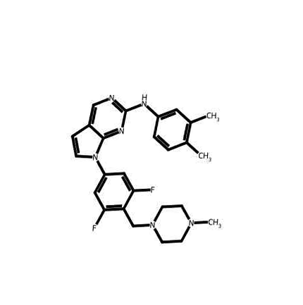 Cc1ccc(Nc2ncc3ccn(-c4cc(F)c(CN5CCN(C)CC5)c(F)c4)c3n2)cc1C